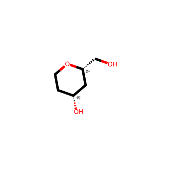 OC[C@@H]1C[C@H](O)CCO1